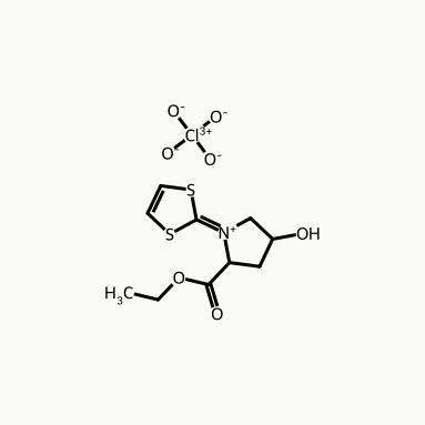 CCOC(=O)C1CC(O)C[N+]1=c1sccs1.[O-][Cl+3]([O-])([O-])[O-]